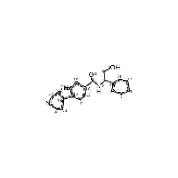 O=C(NC(CO)c1ccccc1)c1ccc2c(c1)oc1cnccc12